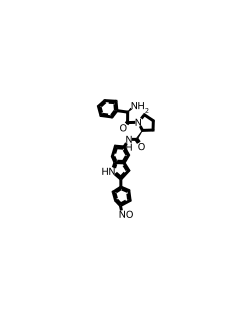 N[C@@H](C(=O)N1CCC[C@H]1C(=O)Nc1ccc2[nH]c(-c3ccc(N=O)cc3)cc2c1)c1ccccc1